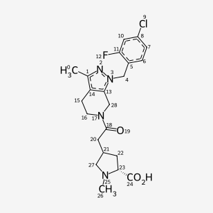 Cc1nn(Cc2ccc(Cl)cc2F)c2c1CCN(C(=O)CC1C[C@H](C(=O)O)N(C)C1)C2